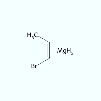 C/C=C\Br.[MgH2]